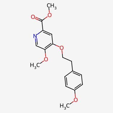 COC(=O)c1cc(OCCc2ccc(OC)cc2)c(OC)cn1